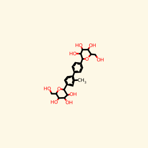 Cc1cc(C2OC(CO)C(O)C(O)C2O)ccc1-c1ccc(C2OC(CO)C(O)C(O)C2O)cc1